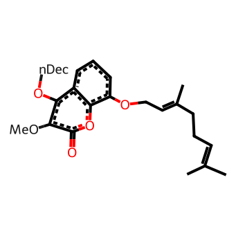 CCCCCCCCCCOc1c(OC)c(=O)oc2c(OC/C=C(\C)CCC=C(C)C)cccc12